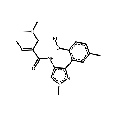 C/C=C(\CN(C)C)C(=O)Nc1cn(C)nc1-c1cc(C)ccc1OCC